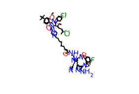 C=C/C(=C\C=C(/C)Cl)[C@@]1(C)N(C(=O)N2CCN(CCCCCCCCC(=O)NCCn3nc(C#N)c4c3CN(C)C(=O)c3ccc(F)cc3[C@H]3CCCN3c3cc-4cnc3N)CC2)C(c2ccc(C(C)(C)C)cc2OCC)=N[C@@]1(C)c1ccc(Cl)cc1